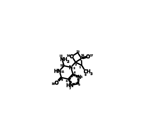 CC1C2(N3c4nc[nH]c4C(=O)NC3N)OCP12=O